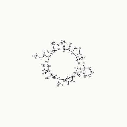 CCC(C)[C@H]1NC(=O)[C@H]([C@@H](C)O)NC(=O)C2CCCN2C(=O)[C@H](Cc2ccccc2)NC(=O)c2csc(n2)[C@@H](C)NC(=O)[C@@H]2CSC1=N2